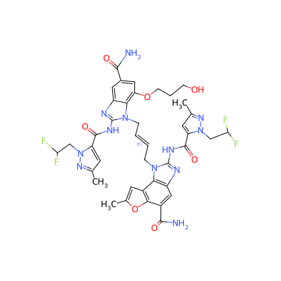 Cc1cc(C(=O)Nc2nc3cc(C(N)=O)cc(OCCCO)c3n2C/C=C/Cn2c(NC(=O)c3cc(C)nn3CC(F)F)nc3cc(C(N)=O)c4oc(C)cc4c32)n(CC(F)F)n1